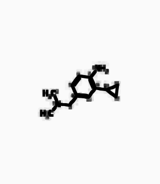 CN(C)Cc1ccc(N)c(C2CC2)c1